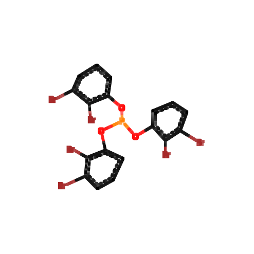 Brc1cccc(OP(Oc2cccc(Br)c2Br)Oc2cccc(Br)c2Br)c1Br